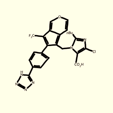 CCCCc1nc(Cl)c(C(=O)O)n1Cc1c2ccocc-2c(C(F)(F)F)c1-c1ccc(-c2nnn[nH]2)cc1